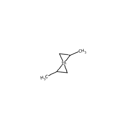 C[CH]1[CH2][Zn]12[CH2][CH]2C